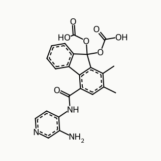 Cc1cc(C(=O)Nc2ccncc2N)c2c(c1C)C(OC(=O)O)(OC(=O)O)c1ccccc1-2